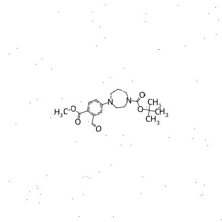 COC(=O)c1ccc(N2CCCN(C(=O)OC(C)(C)C)CC2)cc1C=O